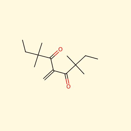 C=C(C(=O)C(C)(C)CC)C(=O)C(C)(C)CC